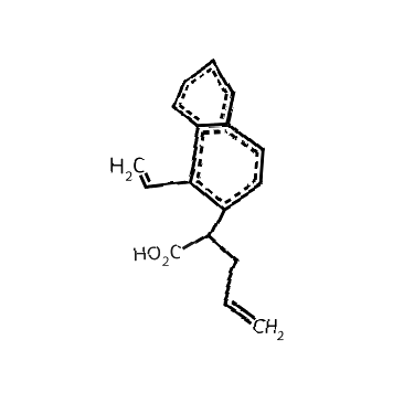 C=CCC(C(=O)O)c1ccc2ccccc2c1C=C